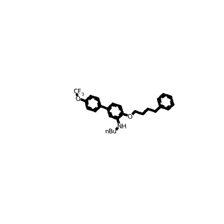 CCCCNc1cc(-c2ccc(OC(F)(F)F)cc2)ccc1OCCCCc1ccccc1